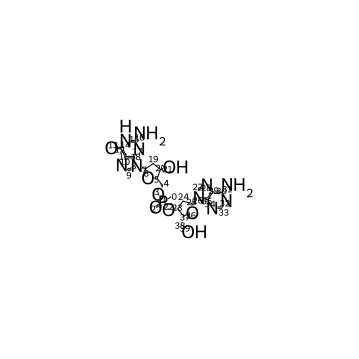 CP(=O)(OC[C@H]1O[C@@H](n2cnc3c(=O)[nH]c(N)nc32)C[C@H]1O)O[C@@H]1C[C@H](n2cnc3c(N)ncnc32)O[C@@H]1CO